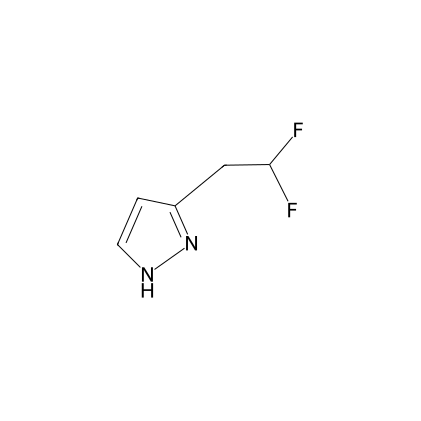 FC(F)Cc1cc[nH]n1